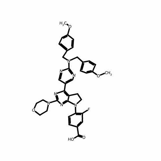 COc1ccc(CN(Cc2ccc(OC)cc2)c2ncc(-c3nc(N4CCOCC4)nc4c3CCN4c3ccc(C(=O)O)cc3F)cn2)cc1